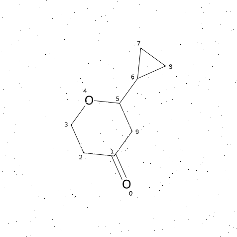 O=C1CCOC(C2CC2)C1